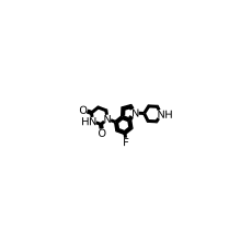 O=C1CCN(c2cc(F)cc3c2ccn3C2CCNCC2)C(=O)N1